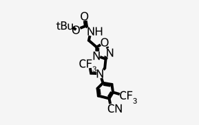 CC(C)(C)OC(=O)NCc1nc(CN(CC(F)(F)F)c2ccc(C#N)c(C(F)(F)F)c2)no1